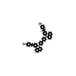 CC(C)(c1ccc(Br)cc1)c1ccc(N(c2ccc(-c3ccc(N(c4ccc(C(C)(C)c5ccc(Br)cc5)cc4)c4cccc5ccccc45)cc3)cc2)c2cccc3ccccc23)cc1